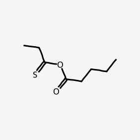 CCCCC(=O)OC(=S)CC